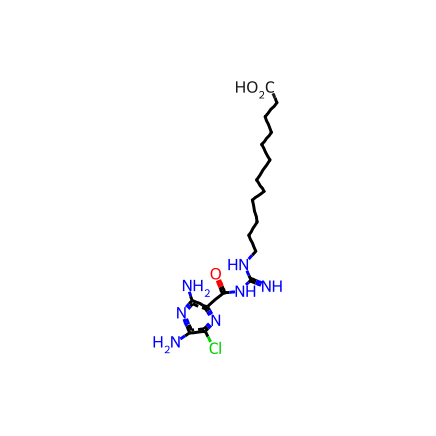 N=C(NCCCCCCCCCCCC(=O)O)NC(=O)c1nc(Cl)c(N)nc1N